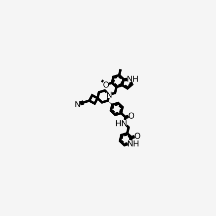 COc1cc(C)c2[nH]ccc2c1CN1CCC2(CC(C#N)C2)C[C@H]1c1ccc(C(=O)NCc2ccc[nH]c2=O)cc1